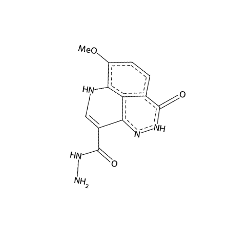 COc1ccc2c(=O)[nH]nc3c2c1NC=C3C(=O)NN